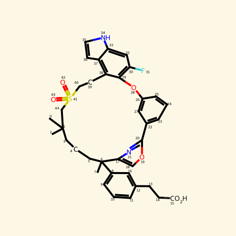 CC1(C)CCCC(C)(c2cccc(CCC(=O)O)c2)c2coc(n2)-c2cccc(c2)Oc2c(F)cc3[nH]ccc3c2CCS(=O)(=O)C1